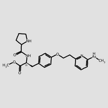 COC(=O)[C@H](Cc1ccc(OCCc2cccc([AsH]C)n2)cc1)NC(=O)C1CCCN1